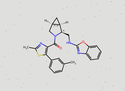 Cc1cccc(-c2sc(C)nc2C(=O)N2C[C@H]3C[C@H]3[C@H]2CNc2nc3ccccc3o2)c1